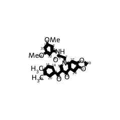 COc1cc(NC(=O)Cn2cc(C(=O)c3ccc(C)c(C)c3)c(=O)c3cc4c(cc32)OCO4)cc(OC)c1